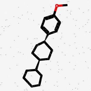 COc1ccc([C@H]2CC[C@H](C3CCCCC3)CC2)cc1